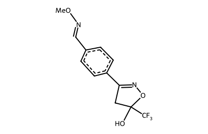 CON=Cc1ccc(C2=NOC(O)(C(F)(F)F)C2)cc1